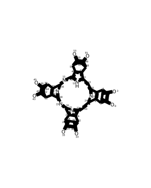 O=C1C(=O)C2C=CC1C1=C2c2cc3[nH]c(nc4nc(nc5[nH]c(cc1n2)c1c5C2C=CC1C(=O)C2=O)C1=C4C2C=CC1C(=O)C2=O)c1c3C2C=CC1C(=O)C2=O